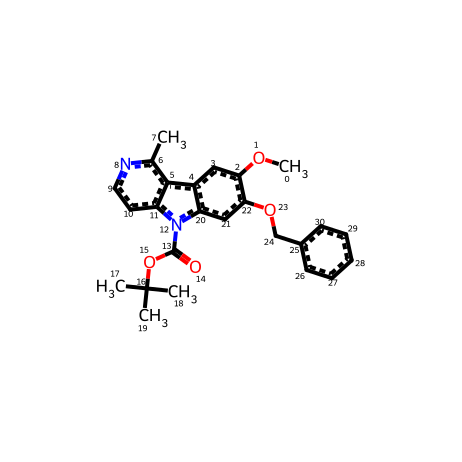 COc1cc2c3c(C)nccc3n(C(=O)OC(C)(C)C)c2cc1OCc1ccccc1